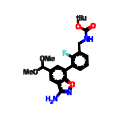 COC(OC)c1cc(-c2cccc(CNC(=O)OC(C)(C)C)c2F)c2onc(N)c2c1